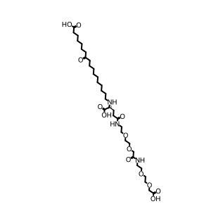 O=C(O)CCCCCCC(=O)CCCCCCCCCCN[C@@H](CCC(=O)NCCOCCOCC(=O)NCCOCCOCC(=O)O)C(=O)O